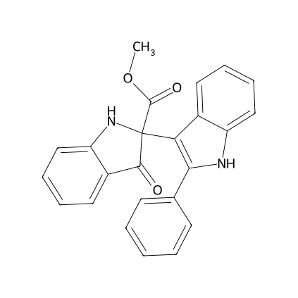 COC(=O)C1(c2c(-c3ccccc3)[nH]c3ccccc23)Nc2ccccc2C1=O